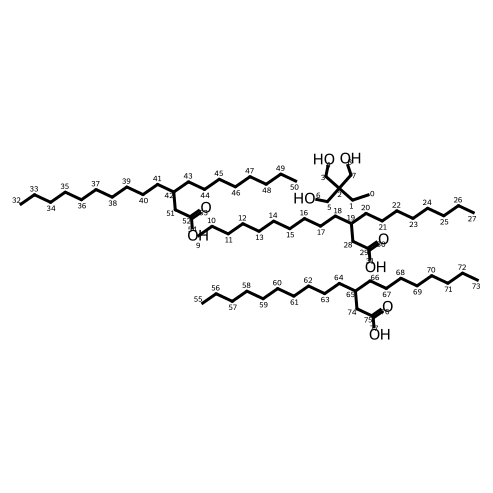 CCC(CO)(CO)CO.CCCCCCCCCCC(CCCCCCCC)CC(=O)O.CCCCCCCCCCC(CCCCCCCC)CC(=O)O.CCCCCCCCCCC(CCCCCCCC)CC(=O)O